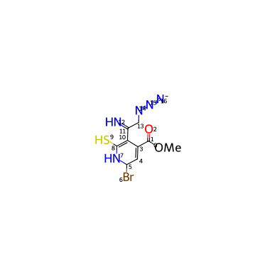 COC(=O)C1=CC(Br)NC(S)=C1C(=N)CN=[N+]=[N-]